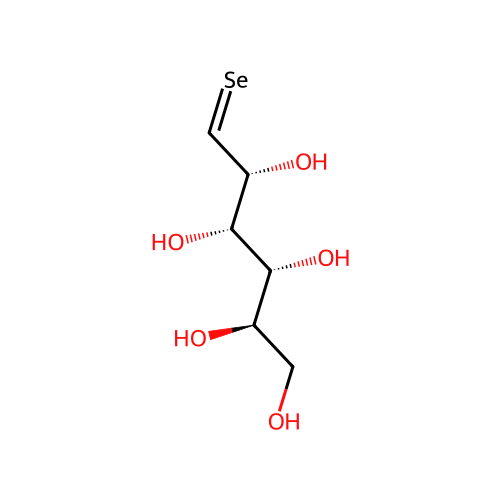 OC[C@@H](O)[C@@H](O)[C@H](O)[C@@H](O)C=[Se]